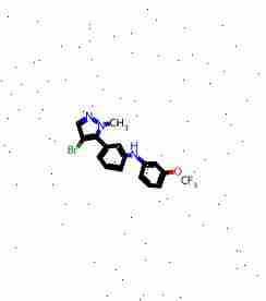 Cn1ncc(Br)c1-c1cccc(Nc2cccc(OC(F)(F)F)c2)c1